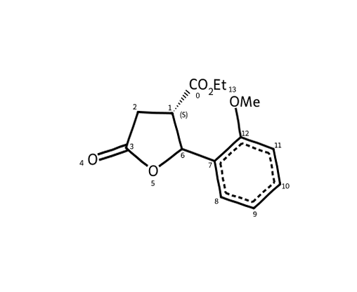 CCOC(=O)[C@H]1CC(=O)OC1c1ccccc1OC